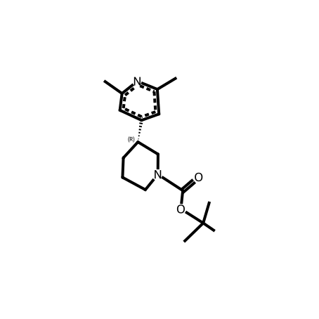 Cc1cc([C@H]2CCCN(C(=O)OC(C)(C)C)C2)cc(C)n1